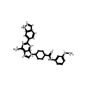 COc1cccc(NC(=O)C2CCC(n3cnc4c(N)nc(-c5ccc6cn[nH]c6c5)nc43)CC2)c1